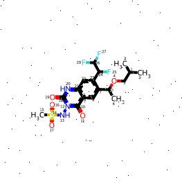 CC(C)COC(C)c1cc2c(=O)n(NS(C)(=O)=O)c(=O)[nH]c2cc1C(F)C(F)F